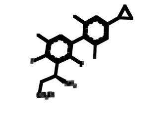 CCOC(=O)C[C@H](N)c1c(F)c(C)cc(-c2c(C)cc(C3CC3)cc2C)c1F